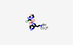 CC(C)(C)N(CCc1cn(S(=O)(=O)c2c(Cl)nc3sccn23)c2ccncc12)C(=O)O